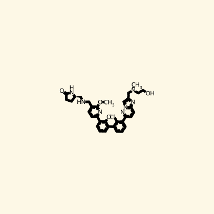 COc1nc(-c2cccc(-c3cccc(-c4ccc5nc(CN(C)CCO)cn5n4)c3Cl)c2Cl)ccc1CNC[C@H]1CCC(=O)N1